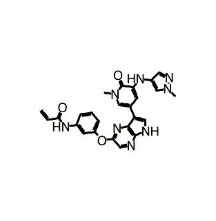 C=CC(=O)Nc1cccc(Oc2cnc3[nH]cc(-c4cc(Nc5cnn(C)c5)c(=O)n(C)c4)c3n2)c1